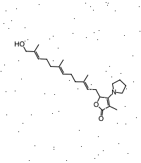 CC1=C(N2CCCC2)C(C/C=C(\C)CC/C=C(\C)CC/C=C(\C)CO)OC1=O